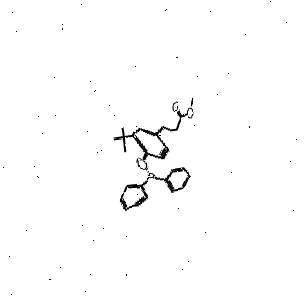 COC(=O)CCc1ccc(OP(c2ccccc2)c2ccccc2)c(C(C)(C)C)c1